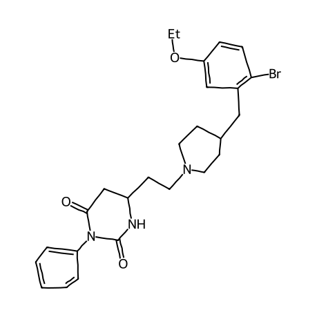 CCOc1ccc(Br)c(CC2CCN(CCC3CC(=O)N(c4ccccc4)C(=O)N3)CC2)c1